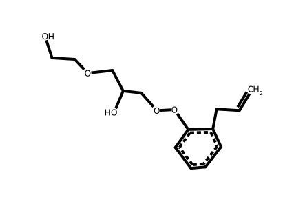 C=CCc1ccccc1OOCC(O)COCCO